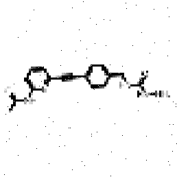 CC(=O)Nc1cccc(C#Cc2ccc(CNC(=O)NN)cc2)n1